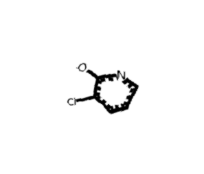 [O]c1ncccc1Cl